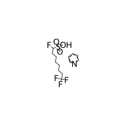 O=S(=O)(O)C(F)CCCCCCC(F)(F)F.c1ccncc1